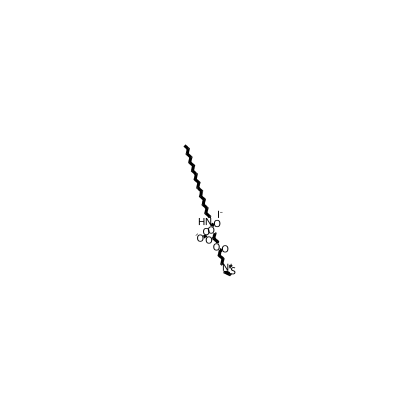 CCCCCCCCCCCCCCCCCCNC(=O)OCC(COC(=O)CCC[n+]1ccsc1)OC(=O)OC.[I-]